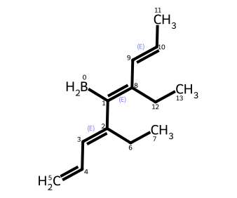 BC(/C(=C/C=C)CC)=C(\C=C\C)CC